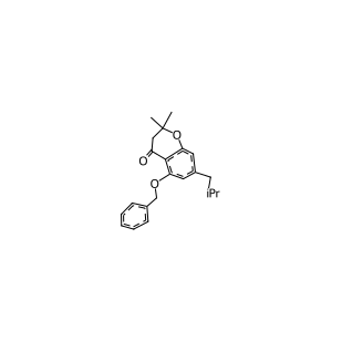 CC(C)Cc1cc(OCc2ccccc2)c2c(c1)OC(C)(C)CC2=O